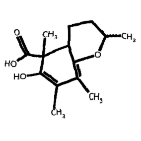 CC1=C2OC(C)CCC2C(C)(C(=O)O)C(O)=C1C